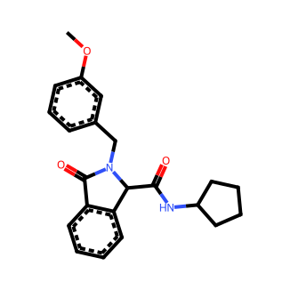 COc1cccc(CN2C(=O)c3ccccc3C2C(=O)NC2CCCC2)c1